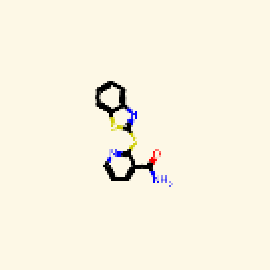 NC(=O)c1cccnc1Sc1nc2ccccc2s1